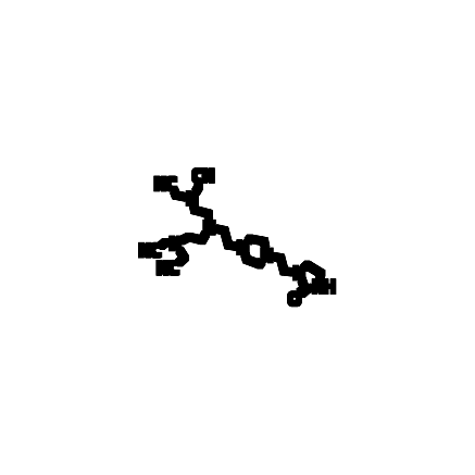 N#CCN(CC#N)CCN(CCN(CC#N)CC#N)CCN1CCN(CCN2CCNC2=O)CC1